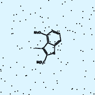 CCOC(=O)c1sc2cccc(OC)c2c1C